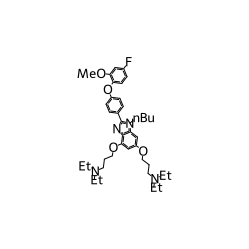 CCCCn1c(-c2ccc(Oc3ccc(F)cc3OC)cc2)nc2c(OCCCN(CC)CC)cc(OCCCN(CC)CC)cc21